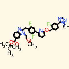 COCCn1c(Cc2cc(F)c(-c3cccc(OCc4ccc(-c5ncnn5C)cc4F)n3)cc2F)nc2ccc(C(=O)OC(C)(C)C)cc21